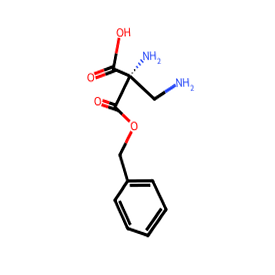 NC[C@](N)(C(=O)O)C(=O)OCc1ccccc1